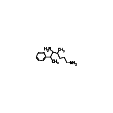 CC(CCCN)C(N)C(C)c1ccccc1